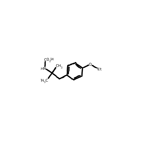 CCOc1ccc(CC(C)(C)NC(=O)O)cc1